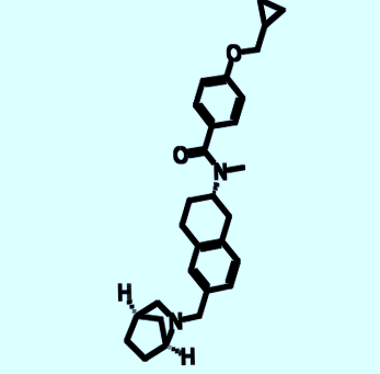 CN(C(=O)c1ccc(OCC2CC2)cc1)[C@H]1CCc2cc(CN3C[C@@H]4CC[C@H]3C4)ccc2C1